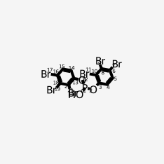 OP(Oc1ccc(Br)c(Br)c1Br)Oc1ccc(Br)c(Br)c1Br